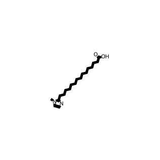 Cn1ccnc1CCCCCCCCCCCCCCC(=O)O